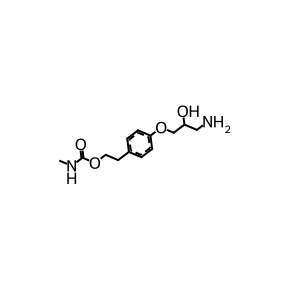 CNC(=O)OCCc1ccc(OCC(O)CN)cc1